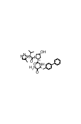 Cc1cnnn1[C@H](C(=O)N1C[C@H](O)C[C@H]1C(=O)N[C@H](Cc1ccc(-c2ccccc2)cc1)C(N)=O)C(C)C